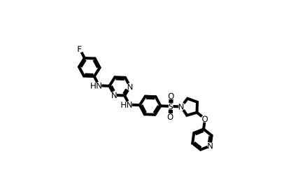 O=S(=O)(c1ccc(Nc2nccc(Nc3ccc(F)cc3)n2)cc1)N1CCC(Oc2cccnc2)C1